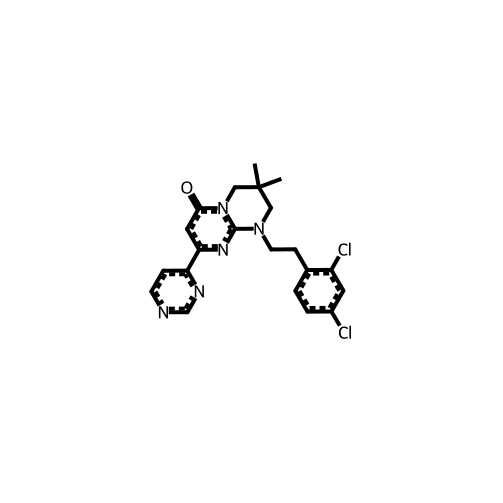 CC1(C)CN(CCc2ccc(Cl)cc2Cl)c2nc(-c3ccncn3)cc(=O)n2C1